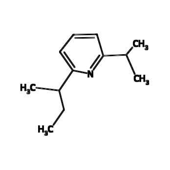 CCC(C)c1cccc(C(C)C)n1